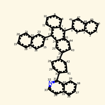 c1ccc2cc(-c3c4ccccc4c(-c4ccc5ccccc5c4)c4cc(-c5ccc(-c6nccc7ccccc67)cc5)ccc34)ccc2c1